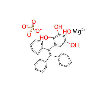 O=S(=O)([O-])[O-].Oc1cc(C(=C(c2ccccc2)c2ccccc2)c2ccccc2)c(O)c(O)c1O.[Mg+2]